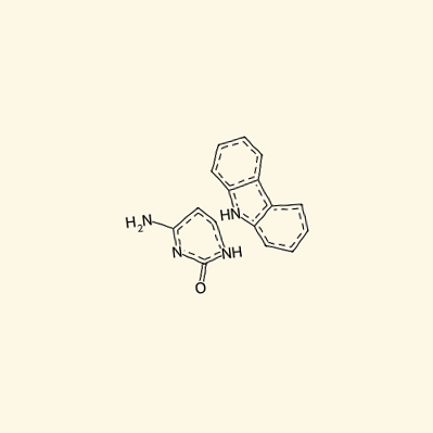 Nc1cc[nH]c(=O)n1.c1ccc2c(c1)[nH]c1ccccc12